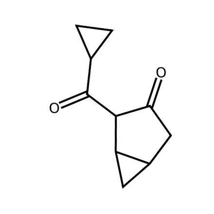 O=C1CC2CC2C1C(=O)C1CC1